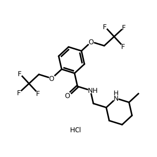 CC1CCCC(CNC(=O)c2cc(OCC(F)(F)F)ccc2OCC(F)(F)F)N1.Cl